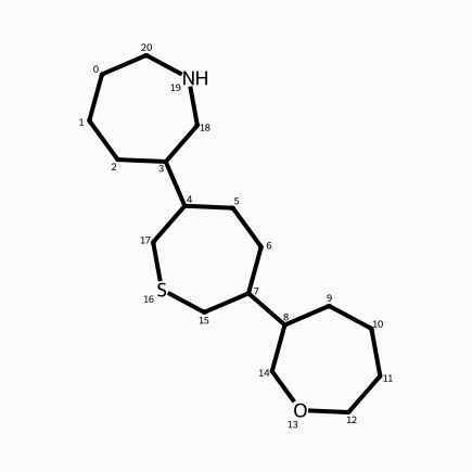 C1CCC(C2CCC(C3CCCCOC3)CSC2)CNC1